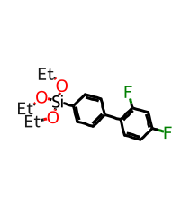 CCO[Si](OCC)(OCC)c1ccc(-c2ccc(F)cc2F)cc1